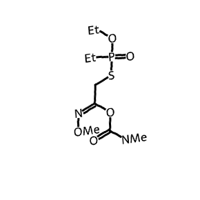 CCOP(=O)(CC)SCC(=NOC)OC(=O)NC